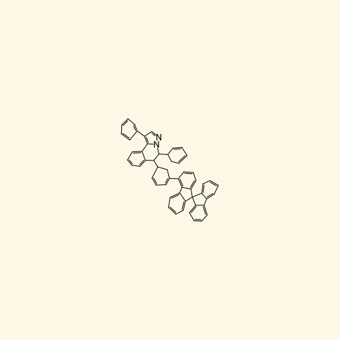 C1=CCC(C2C(C3C=CC=C(c4cccc5c4-c4ccccc4C54c5ccccc5-c5ccccc54)C3)c3ccccc3-c3c(-c4ccccc4)cnn32)C=C1